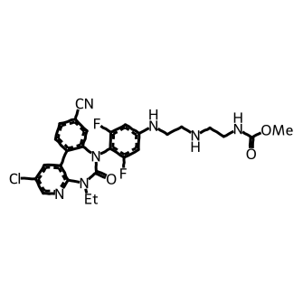 CCN1C(=O)N(c2c(F)cc(NCCNCCNC(=O)OC)cc2F)c2cc(C#N)ccc2-c2cc(Cl)cnc21